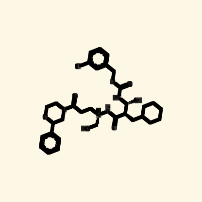 O=C(N[C@H](S)[C@@H](CC1CCCCC1)C(=O)N[Si@H](CO)CCC(=O)N1CCOC(c2ccccc2)C1)OCc1cccc(Cl)c1